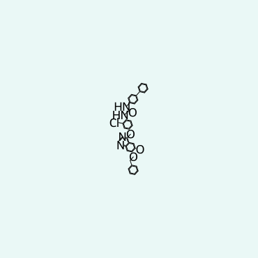 COc1cc2c(Oc3ccc(NC(=O)Nc4ccc(-c5ccccc5)cc4)c(Cl)c3)ncnc2cc1OCc1ccccc1